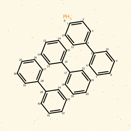 P.c1ccc(-c2ccccc2)cc1.c1ccc(-c2ccccc2)cc1.c1ccc(-c2ccccc2)cc1